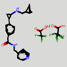 O=C(NCc1ccncc1)c1ccc(C2CC2NCC2CC2)cc1.O=C(O)C(F)(F)F.O=C(O)C(F)(F)F